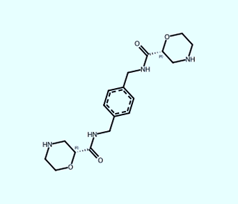 O=C(NCc1ccc(CNC(=O)[C@H]2CNCCO2)cc1)[C@H]1CNCCO1